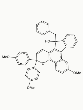 COc1ccc(C2(c3ccc(OC)cc3)C=Cc3c4c(c5cc(OC)ccc5c3O2)-c2ccccc2C4(O)Cc2ccccc2)cc1